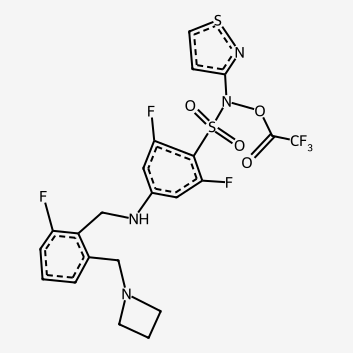 O=C(ON(c1ccsn1)S(=O)(=O)c1c(F)cc(NCc2c(F)cccc2CN2CCC2)cc1F)C(F)(F)F